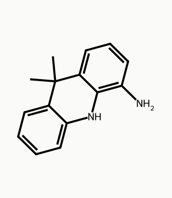 CC1(C)c2ccccc2Nc2c(N)cccc21